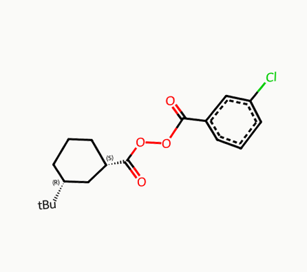 CC(C)(C)[C@@H]1CCC[C@H](C(=O)OOC(=O)c2cccc(Cl)c2)C1